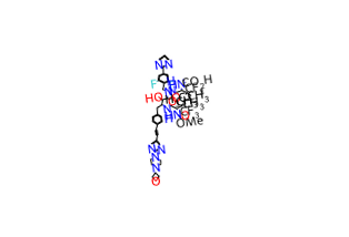 COC(=O)NC(C(=O)NC(Cc1ccc(C#Cc2cnc(N3CCN(C4COC4)CC3)nc2)cc1)C(O)CN(Cc1c(F)cc(-c2ncccn2)cc1F)NC(=O)C(NC(=O)O)C(C)(C)C(F)(F)F)C(C)(C)C(F)(F)F